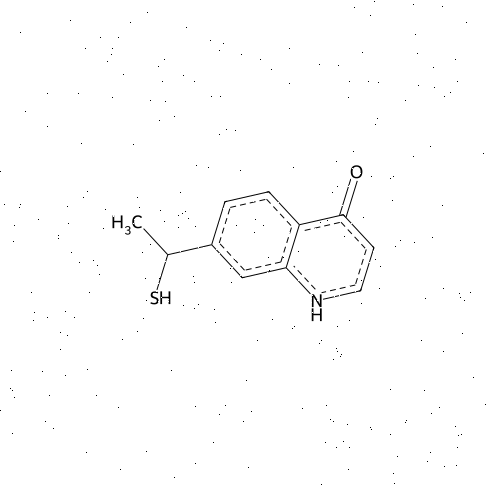 CC(S)c1ccc2c(=O)cc[nH]c2c1